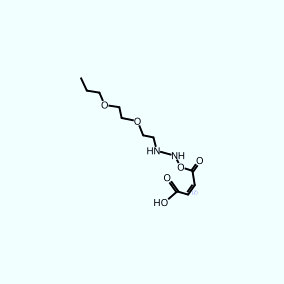 CCCOCCOCCNNOC(=O)/C=C\C(=O)O